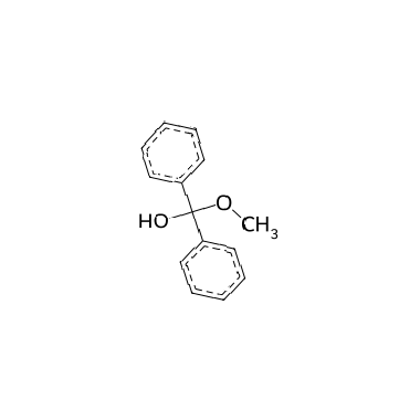 COC(O)(c1ccccc1)c1ccccc1